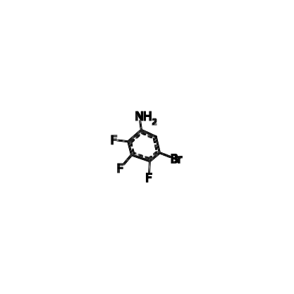 Nc1cc(Br)c(F)c(F)c1F